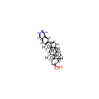 C[C@]12CC[C@H](O)C[C@@H]1CC[C@@H]1[C@@H]2CC[C@]2(C)C(c3ccc4ccncc4c3)=CC[C@@H]12